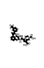 O=C(O)c1cc(C(=O)N[C@@H](Cc2ccccc2)[C@@H](O)CNC2(c3cccc(C(F)(F)F)c3)CC2)n2c1CN(C(=O)O)CC2